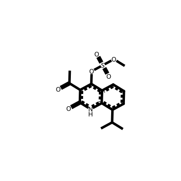 COS(=O)(=O)Oc1c(C(C)=O)c(=O)[nH]c2c(C(C)C)cccc12